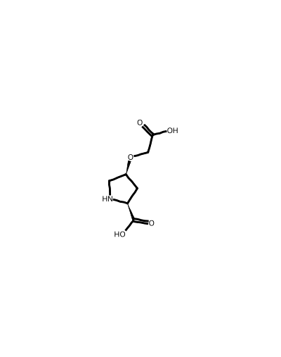 O=C(O)CO[C@@H]1CN[C@H](C(=O)O)C1